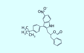 CC(C)(C)c1ccc(-c2c(CC(Cc3ccccc3)OC=O)[nH]c3ccc([N+](=O)[O-])cc23)cc1